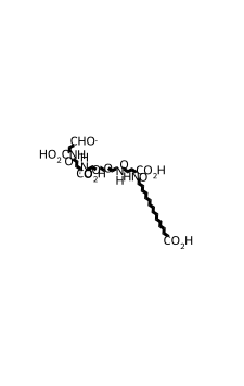 O=[C]CC[C@H](NC(=O)CC[C@H](NC(=O)COCCOCCNC(=O)CC[C@H](NC(=O)CCCCCCCCCCCCCCCCC(=O)O)C(=O)O)C(=O)O)C(=O)O